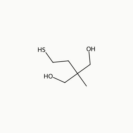 CC(CO)(CO)CCS